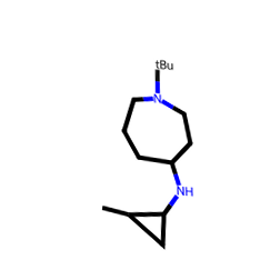 CC1CC1NC1CCCN(C(C)(C)C)CC1